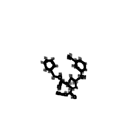 COC(=O)[C@@H]1C[C@H](Nc2cccc(Br)n2)CN1C(=O)OCc1ccccc1